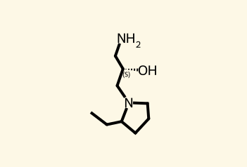 CCC1CCCN1C[C@@H](O)CN